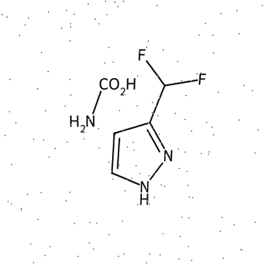 FC(F)c1cc[nH]n1.NC(=O)O